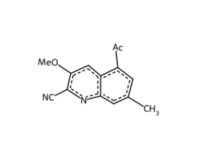 COc1cc2c(C(C)=O)cc(C)cc2nc1C#N